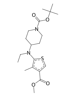 CCN(c1scc(C(=O)OC)c1C)C1CCN(C(=O)OC(C)(C)C)CC1